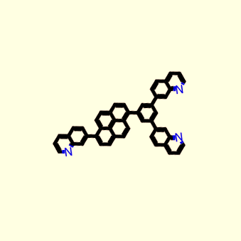 c1cnc2cc(-c3cc(-c4ccc5cccnc5c4)cc(-c4ccc5ccc6c(-c7ccc8cccnc8c7)ccc7ccc4c5c76)c3)ccc2c1